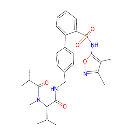 Cc1noc(NS(=O)(=O)c2ccccc2-c2ccc(CNC(=O)[C@H](C(C)C)N(C)C(=O)C(C)C)cc2)c1C